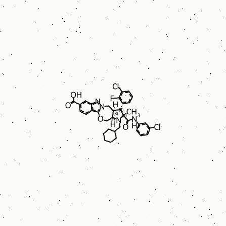 C[C@]1(C(=O)Nc2cccc(Cl)c2)[C@@H](c2cccc(Cl)c2F)[C@@H]2Cn3nc4cc(C(=O)O)ccc4c3OC[C@@H]2N1CC1CCCCC1